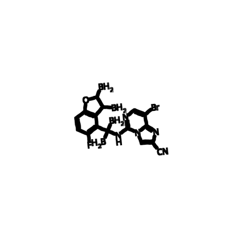 BC1Oc2ccc(F)c(C(B)(B)Nc3ncc(Br)c4nc(C#N)cn34)c2C1B